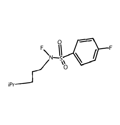 CC(C)CCCN(F)S(=O)(=O)c1ccc(F)cc1